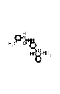 Cc1cccc(NC(=O)Nc2ccc(CNc3ccccc3C(N)=O)cc2)c1